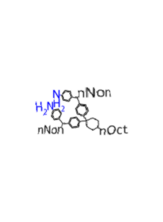 CCCCCCCCCC(c1ccc(N)cc1)c1ccc(C2(c3ccc(C(CCCCCCCCC)c4ccc(N)cc4)cc3)CCC(CCCCCCCC)CC2)cc1